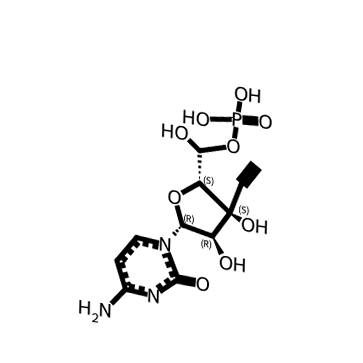 C#C[C@@]1(O)[C@@H](C(O)OP(=O)(O)O)O[C@@H](n2ccc(N)nc2=O)[C@@H]1O